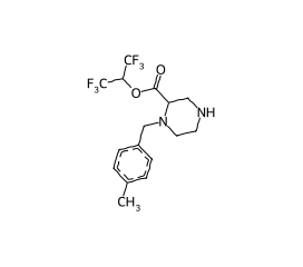 Cc1ccc(CN2CCNCC2C(=O)OC(C(F)(F)F)C(F)(F)F)cc1